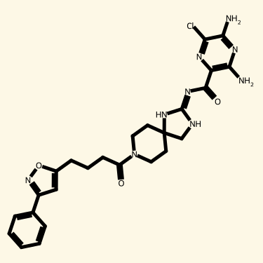 Nc1nc(N)c(C(=O)/N=C2\NCC3(CCN(C(=O)CCCc4cc(-c5ccccc5)no4)CC3)N2)nc1Cl